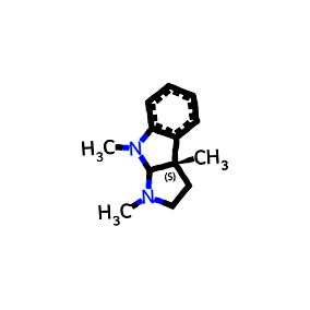 CN1CC[C@@]2(C)c3ccccc3N(C)C12